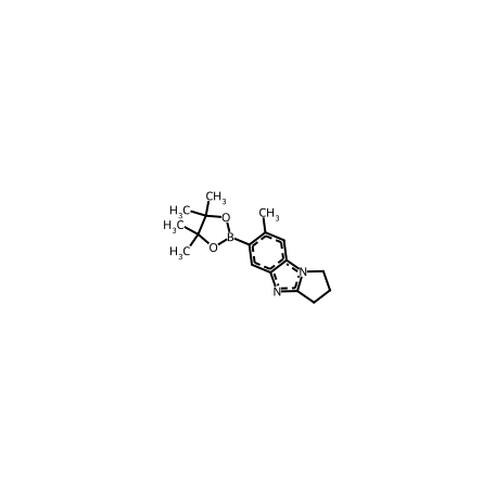 Cc1cc2c(cc1B1OC(C)(C)C(C)(C)O1)nc1n2CCC1